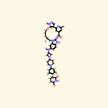 Cc1cc2cc(n1)-c1cnn(C)c1OCCC[C@@H](C)CN1/C(=N/C2=O)Nc2ccc(N(C)C3CN(C4CCN(c5cc(F)c([C@H]6CCC(=O)NC6=O)c(F)c5)CC4)C3)cc21